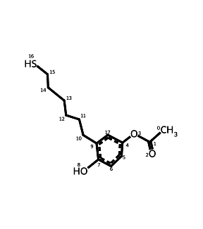 CC(=O)Oc1ccc(O)c(CCCCCCS)c1